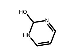 O[C]1N=CC=CN1